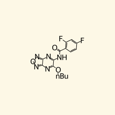 CCCCOc1nc2nonc2nc1NC(=O)c1ccc(F)cc1F